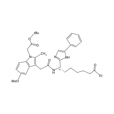 CCC(=O)CCCCC[C@H](NC(=O)Cc1c(C)n(CC(=O)OC(C)(C)C)c2ccc(OC)cc12)c1ncc(-c2ccccc2)[nH]1